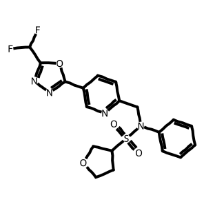 O=S(=O)(C1CCOC1)N(Cc1ccc(-c2nnc(C(F)F)o2)cn1)c1ccccc1